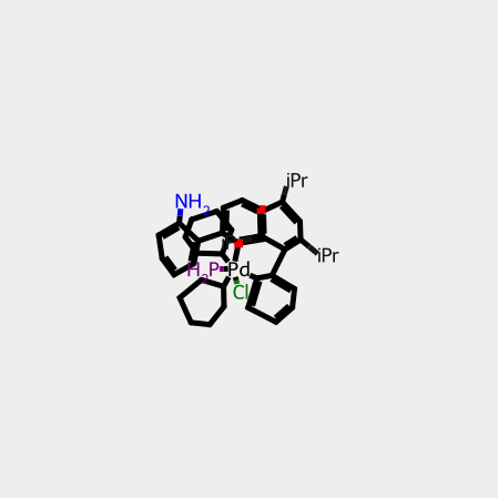 CC(C)c1cc(C(C)C)c(-c2cccc[c]2[Pd]([PH2])([Cl])([c]2ccccc2-c2ccccc2N)([CH]2CCCCC2)[CH]2CCCCC2)c(C(C)C)c1